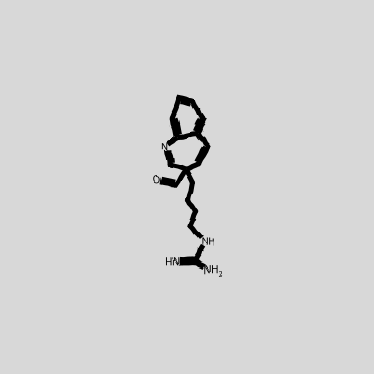 N=C(N)NCCCCC1(C=O)C=Cc2ccccc2N=C1